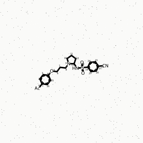 CC(=O)c1ccc(OCCCN2CCCC2NS(=O)(=O)c2ccc(C#N)cc2)cc1